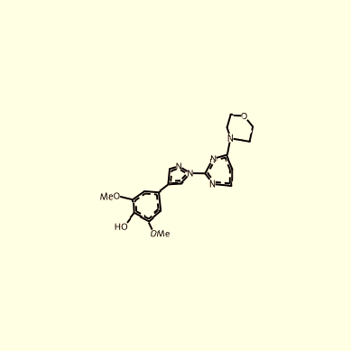 COc1cc(-c2cnn(-c3nccc(N4CCOCC4)n3)c2)cc(OC)c1O